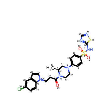 C[C@H]1CN(c2ccc(S(=O)(=O)Nc3ncns3)cc2)CCN1C(=O)CCn1ccc2cc(Cl)ccc21